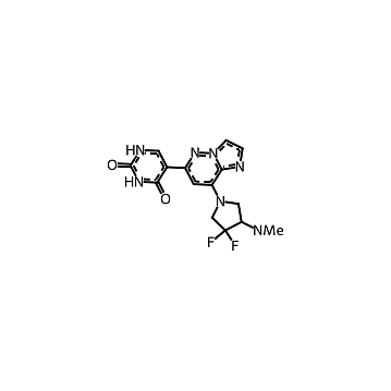 CNC1CN(c2cc(-c3c[nH]c(=O)[nH]c3=O)nn3ccnc23)CC1(F)F